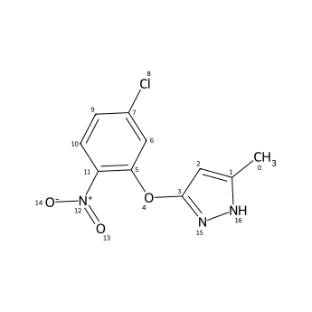 Cc1cc(Oc2cc(Cl)ccc2[N+](=O)[O-])n[nH]1